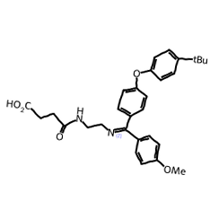 COc1ccc(/C(=N/CCNC(=O)CCC(=O)O)c2ccc(Oc3ccc(C(C)(C)C)cc3)cc2)cc1